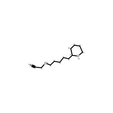 N#CCOCCCCCC1CCCCO1